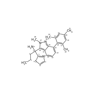 CCCC(N)(c1nccs1)c1c2cccc(-c3c(C)cc(C)cc3C)c2nn1C